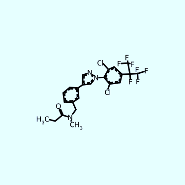 CCC(=O)N(C)Cc1cccc(-c2cnn(-c3c(Cl)cc(C(F)(C(F)(F)F)C(F)(F)F)cc3Cl)c2)c1